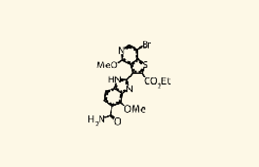 CCOC(=O)c1sc2c(Br)cnc(OC)c2c1-c1nc2c(OC)c(C(N)=O)ccc2[nH]1